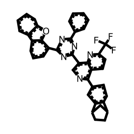 FC(F)(F)c1ccc2c(-c3ccc4c(c3)C3CCC4C3)ncc(-c3nc(-c4ccccc4)nc(-c4cccc5c4oc4ccccc45)n3)c2n1